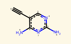 C#Cc1cnc(N)nc1N